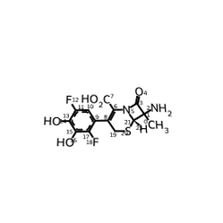 CC1(N)C(=O)N2C(C(=O)O)=C(c3cc(F)c(O)c(O)c3F)CS[C@H]21